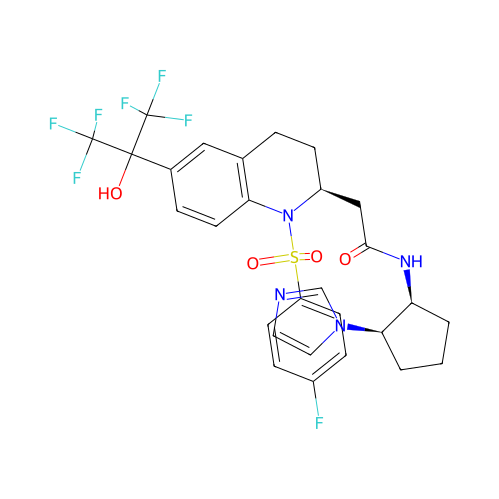 O=C(C[C@@H]1CCc2cc(C(O)(C(F)(F)F)C(F)(F)F)ccc2N1S(=O)(=O)c1ccc(F)cc1)N[C@H]1CCC[C@H]1n1ccnc1